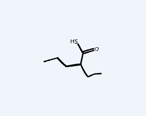 CCCC(CC)C(=O)S